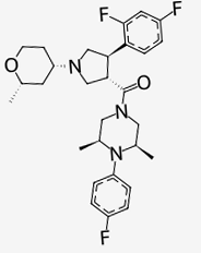 C[C@@H]1CN(C(=O)[C@@H]2CN([C@H]3CCO[C@@H](C)C3)C[C@H]2c2ccc(F)cc2F)C[C@H](C)N1c1ccc(F)cc1